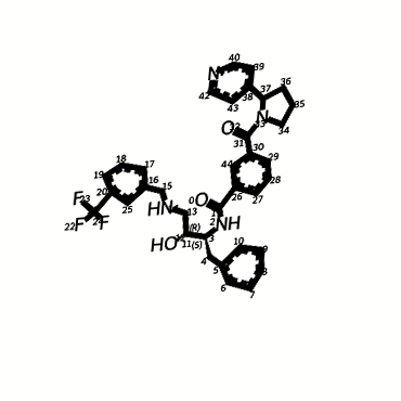 O=C(N[C@@H](Cc1ccccc1)[C@H](O)CNCc1cccc(C(F)(F)F)c1)c1cccc(C(=O)N2CCCC2c2ccncc2)c1